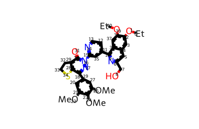 CCOc1cc2cc(CO)nc(-c3ccnc(-n4nc(-c5cc(OC)c(OC)c(OC)c5)c5c(c4=O)CCS5)c3)c2cc1OCC